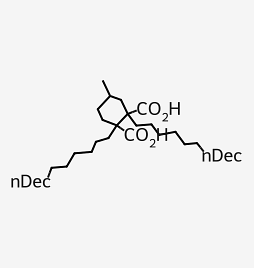 CCCCCCCCCCCCCCCCC1(C(=O)O)CCC(C)CC1(CCCCCCCCCCCCCCCC)C(=O)O